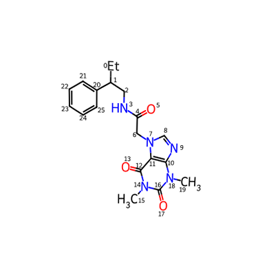 CCC(CNC(=O)Cn1cnc2c1c(=O)n(C)c(=O)n2C)c1ccccc1